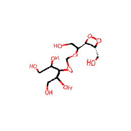 OCC(O)C(OCOC(CO)[C@H]1OO[C@@H]1CO)[C@H](O)CO